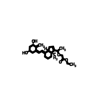 C=C1/C(=C\C=C2/CCC[C@]3(C)C(C(C)OCC(=O)OCC)=CC[C@@H]23)C[C@@H](O)C[C@@H]1O